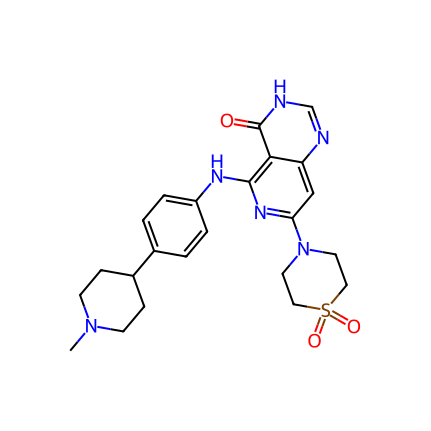 CN1CCC(c2ccc(Nc3nc(N4CCS(=O)(=O)CC4)cc4nc[nH]c(=O)c34)cc2)CC1